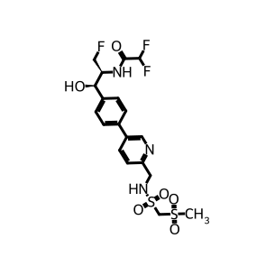 CS(=O)(=O)CS(=O)(=O)NCc1ccc(-c2ccc([C@@H](O)[C@@H](CF)NC(=O)C(F)F)cc2)cn1